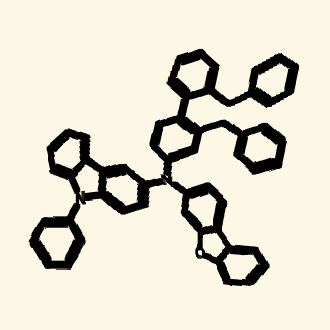 c1ccc(Cc2ccccc2-c2ccc(N(c3ccc4c(c3)oc3ccccc34)c3ccc4c(c3)c3ccccc3n4-c3ccccc3)cc2Cc2ccccc2)cc1